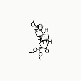 CCOC(OCC)[C@@H]1C[C@@]2(C)[C@@H](CC[C@@H]3[C@@H]2CC[C@]2(C)[C@H](OC)CC[C@@H]32)CC1=O